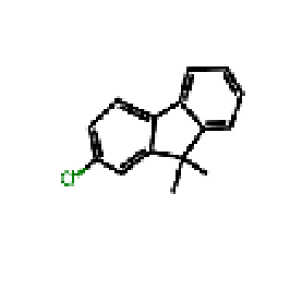 CC1(C)c2ccccc2-c2ccc(Cl)cc21